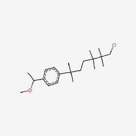 COC(C)c1ccc(C(C)(C)CCC(C)(C)C(C)(C)CCl)cc1